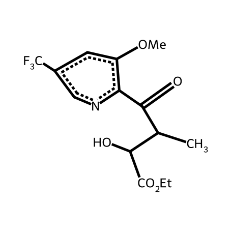 CCOC(=O)C(O)C(C)C(=O)c1ncc(C(F)(F)F)cc1OC